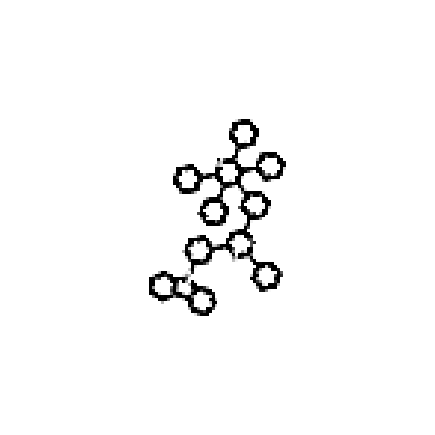 c1ccc(-c2nc(-c3cccc(-c4c(-c5ccccc5)c(-c5ccccc5)nc(-c5ccccc5)c4-c4ccccc4)c3)cc(-c3cccc(-n4c5ccccc5c5ccccc54)c3)n2)cc1